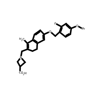 CC1=C(CN2CC(C(=O)O)C2)CCc2cc(OCc3ccc(OC(C)C)cc3F)ccc21